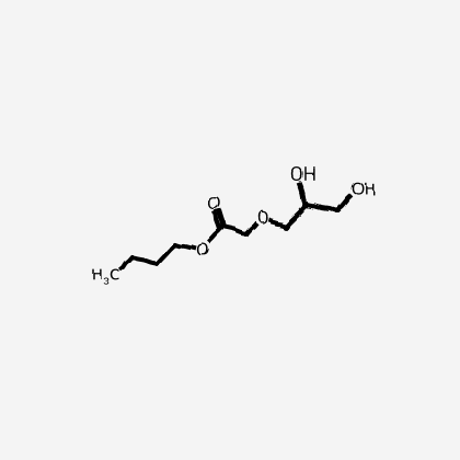 CCCCOC(=O)COCC(O)CO